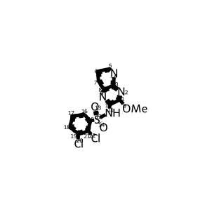 COc1nc2ncccc2nc1NS(=O)(=O)c1cccc(Cl)c1Cl